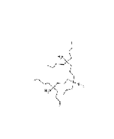 CCCCC(P)(CCCC)CCCC(P)(CCC)CCCC(P)(CCCC)CCCC